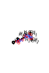 CC(C)(C)OC(=O)/N=C(\NCCN(CCc1cc(C2CC3(CC3)[C@H]3CN2C(=O)N3OCc2ccccc2)no1)C(=O)OC(C)(C)C)NC(=O)OC(C)(C)C